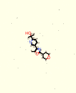 Cc1oc(C2CCOCC2)nc1-c1ccc(C(C)(C)O)nc1